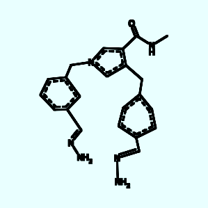 CNC(=O)c1cn(Cc2cccc(C=NN)c2)cc1Cc1ccc(C=NN)cc1